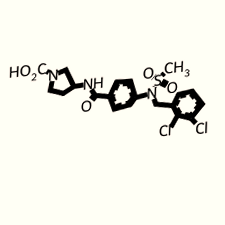 CS(=O)(=O)N(Cc1cccc(Cl)c1Cl)c1ccc(C(=O)NC2CCN(C(=O)O)C2)cc1